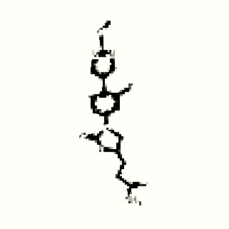 COc1ncc(-c2ccc(N3CC(CCC(N)=O)OC3=O)cc2F)cn1